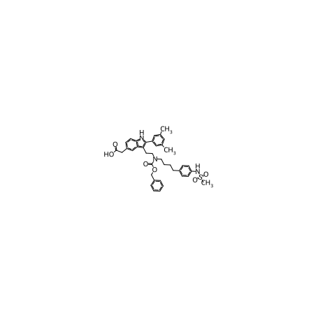 Cc1cc(C)cc(-c2[nH]c3ccc(CC(=O)O)cc3c2CCN(CCCCc2ccc(NS(C)(=O)=O)cc2)C(=O)OCc2ccccc2)c1